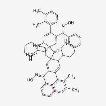 Cc1cccc(C2=CC(C3CCCNC3)C(CCN)(C(=O)C3(CCN)C=C(/C(=N/O)c4ccccc4)C(c4cccc(C)c4C)=CC3C3CCCNC3)C=C2/C(=N/O)c2ccccc2)c1C